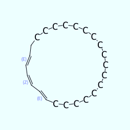 C1=C\C=C\CCCCCCCCCCCCCCCCCC/C=C/1